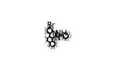 Brc1ccc(-c2ccc3ccccc3c2-c2n[nH]c(-c3ccccc3)n2)cc1